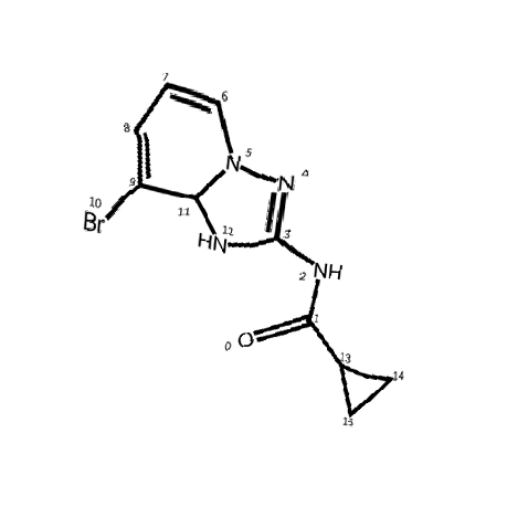 O=C(NC1=NN2C=CC=C(Br)C2N1)C1CC1